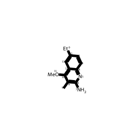 CCc1ccc2nc(N)c(C)c(OC)c2c1